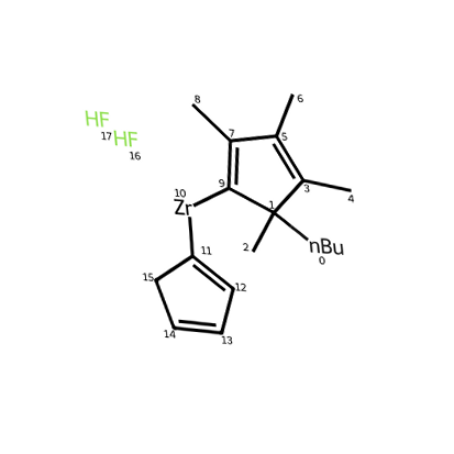 CCCCC1(C)C(C)=C(C)C(C)=[C]1[Zr][C]1=CC=CC1.F.F